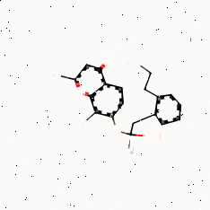 CCCCCCCCCCCCc1ccccc1C[C@@](O)(CCC)Sc1ccc2c(=O)cc(C(=O)O)oc2c1CCC